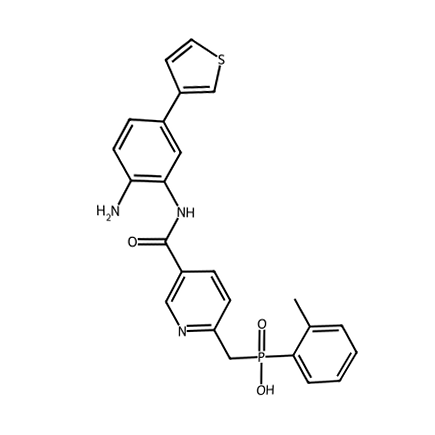 Cc1ccccc1P(=O)(O)Cc1ccc(C(=O)Nc2cc(-c3ccsc3)ccc2N)cn1